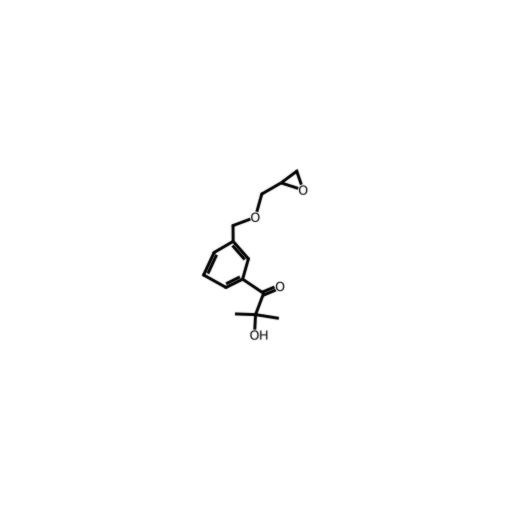 CC(C)(O)C(=O)c1cccc(COCC2CO2)c1